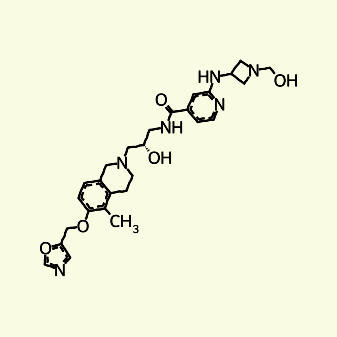 Cc1c(OCc2cnco2)ccc2c1CCN(C[C@@H](O)CNC(=O)c1ccnc(NC3CN(CO)C3)c1)C2